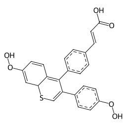 O=C(O)/C=C/c1ccc(C2=C3C=CC(OO)=CC3SC=C2c2ccc(OO)cc2)cc1